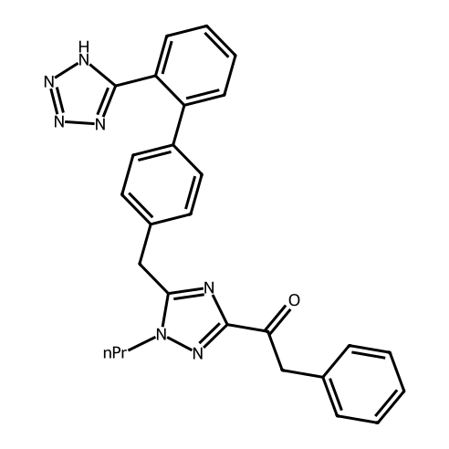 CCCn1nc(C(=O)Cc2ccccc2)nc1Cc1ccc(-c2ccccc2-c2nnn[nH]2)cc1